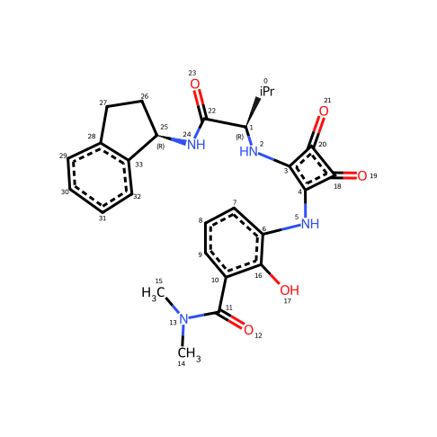 CC(C)[C@@H](Nc1c(Nc2cccc(C(=O)N(C)C)c2O)c(=O)c1=O)C(=O)N[C@@H]1CCc2ccccc21